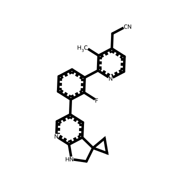 Cc1c(CC#N)ccnc1-c1cccc(-c2cnc3c(c2)C2(CC2)CN3)c1F